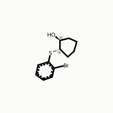 O[C@H]1CCCC[C@@H]1Sc1ccccc1Br